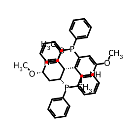 COC1=CC(P(c2ccccc2)c2ccccc2)=C([C@H]2C(OC)=N[C@@H](OC)C[C@H]2P(c2ccccc2)c2ccccc2)[C@H](C)N1